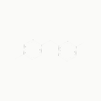 Cc1ccc(Cc2cccc(F)c2)cc1